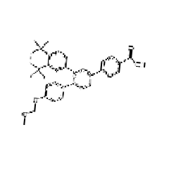 COCOc1ccc(-c2ccc(-c3ccc(C(=O)O)cc3)cc2-c2ccc3c(c2)C(C)(C)CCC3(C)C)cc1